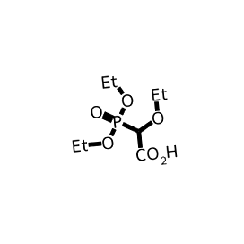 CCOC(C(=O)O)P(=O)(OCC)OCC